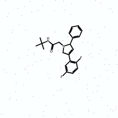 CC(C)(C)NC(=O)CN1CC(c2cc(F)ccc2F)=CC1c1ccccc1